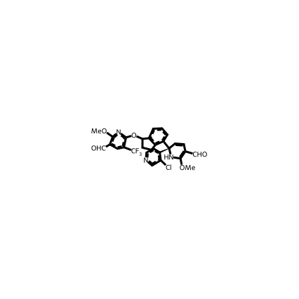 COC1=C(C=O)C=C[C@@](c2ccncc2Cl)(c2cccc3c2CCC3Oc2nc(OC)c(C=O)cc2C(F)(F)F)N1